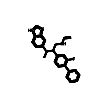 C=CNCC(c1ccc(-c2ccccc2)c(F)c1)N(C)c1ccc2[nH]cnc2c1